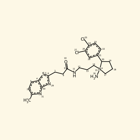 Cc1ccc2sc(CCC(=O)NCCC[N+]3(N)CCCC3c3ccc(Cl)c(Cl)c3)nc2n1